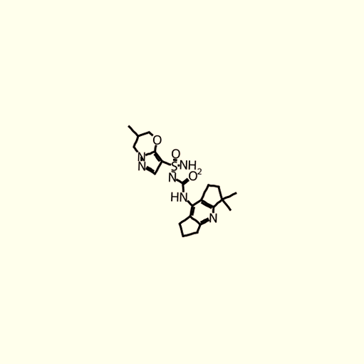 CC1COc2c(S(N)(=O)=NC(=O)Nc3c4c(nc5c3CCC5(C)C)CCC4)cnn2C1